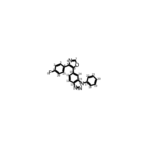 Fc1ccc(-c2ncoc2-c2ccc3nnn(-c4ccccc4)c3c2)cc1